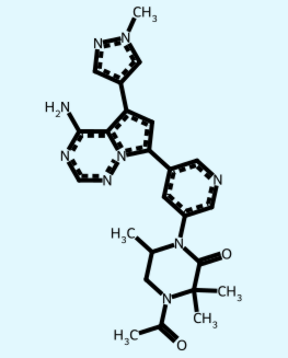 CC(=O)N1CC(C)N(c2cncc(-c3cc(-c4cnn(C)c4)c4c(N)ncnn34)c2)C(=O)C1(C)C